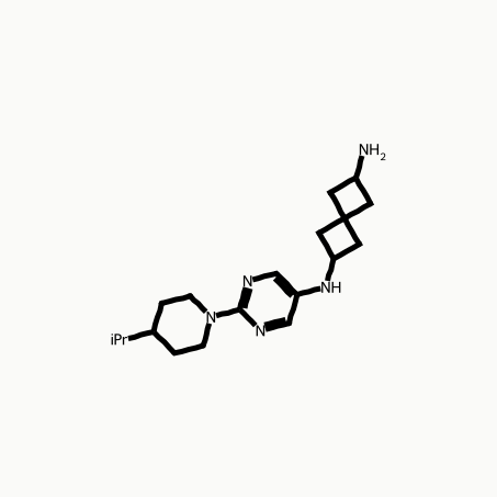 CC(C)C1CCN(c2ncc(NC3CC4(CC(N)C4)C3)cn2)CC1